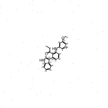 CCC(=O)c1c(Nc2cncc(OC)c2)cccc1-c1c[nH]c2ccccc12